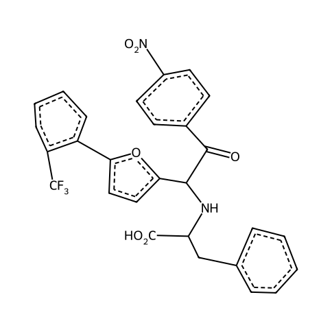 O=C(O)C(Cc1ccccc1)NC(C(=O)c1ccc([N+](=O)[O-])cc1)c1ccc(-c2ccccc2C(F)(F)F)o1